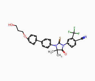 CC1(C)C(=O)N(c2ccc(C#N)c(C(F)(F)F)c2)C(=S)N1c1ccc(-c2ccc(OCCCO)cc2)cc1